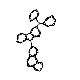 c1ccc(N(c2ccccc2)c2ccc3c(c2)c2ccccc2n3-c2cnc3c(ccc4cccnc43)c2)cc1